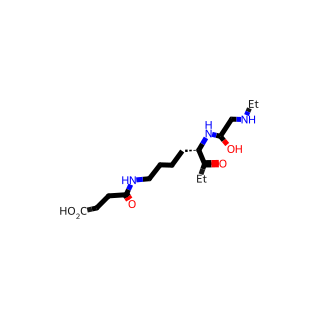 CCNCC(O)N[C@@H](CCCCNC(=O)CCC(=O)O)C(=O)CC